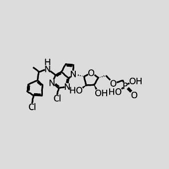 CC(Nc1nc(Cl)nc2c1ccn2[C@@H]1O[C@H](COCP(=O)(O)O)[C@@H](O)[C@H]1O)c1ccc(Cl)cc1